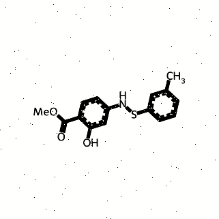 COC(=O)c1ccc(NSc2cccc(C)c2)cc1O